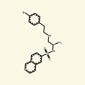 C[C@H](CNCCc1ccc(Br)cc1)NS(=O)(=O)c1ccc2cnccc2c1